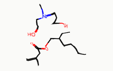 C=C(C)C(=O)OCC(CC)CCCC.CN(CCO)CCO